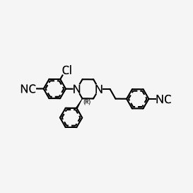 [C-]#[N+]c1ccc(CCN2CCN(c3ccc(C#N)cc3Cl)[C@H](c3ccccc3)C2)cc1